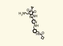 NCCn1c(=O)n(C2CC2)c(=O)c2[nH]c(-c3ccc(NCc4cccc(CNC(=O)C5CCC5)c4)nc3)nc21